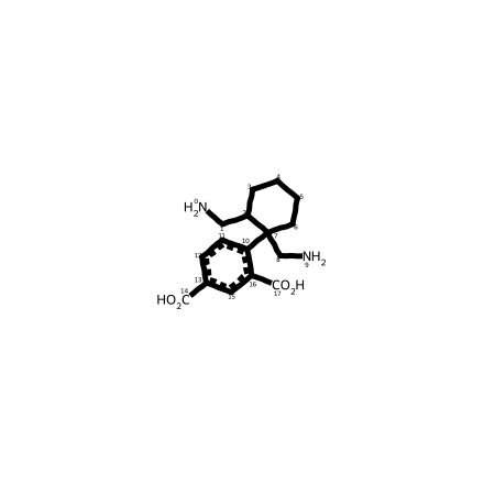 NCC1CCCCC1(CN)c1ccc(C(=O)O)cc1C(=O)O